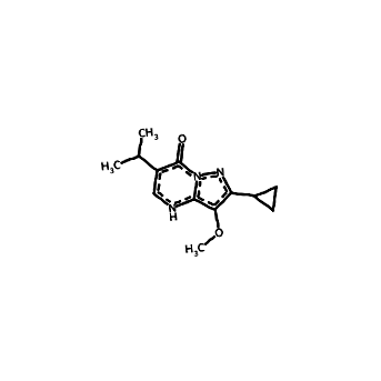 COc1c(C2CC2)nn2c(=O)c(C(C)C)c[nH]c12